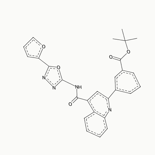 CC(C)(C)OC(=O)c1cccc(-c2cc(C(=O)Nc3nnc(-c4ccco4)o3)c3ccccc3n2)c1